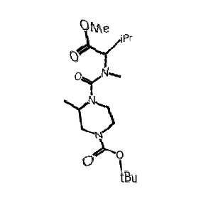 COC(=O)C(C(C)C)N(C)C(=O)N1CCN(C(=O)OC(C)(C)C)CC1C